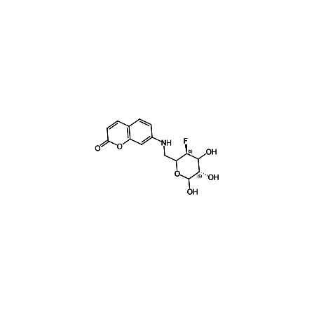 O=c1ccc2ccc(NCC3OC(O)[C@@H](O)C(O)[C@@H]3F)cc2o1